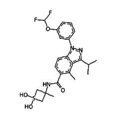 Cc1c(C(=O)NC2(C)CS(O)(O)C2)ccc2c1c(C(C)C)nn2-c1cccc(OC(F)F)c1